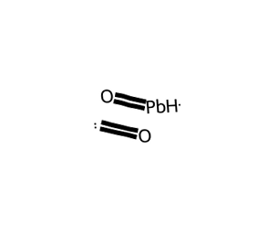 [C]=O.[O]=[PbH]